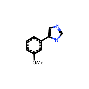 COc1cccc(C2=CN=C[N]2)c1